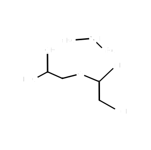 CC(O)COC(C)CO.CCCCNCCCC